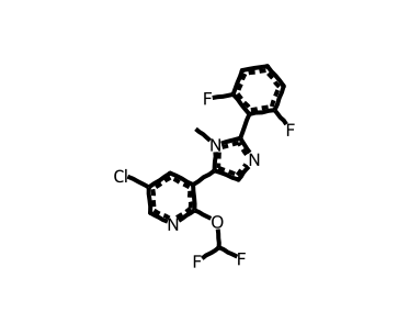 Cn1c(-c2cc(Cl)cnc2OC(F)F)cnc1-c1c(F)cccc1F